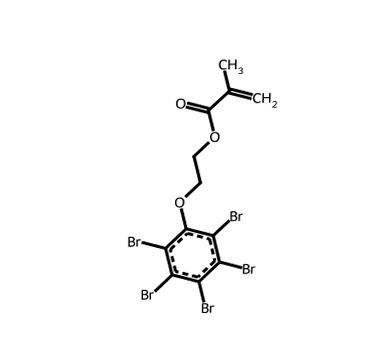 C=C(C)C(=O)OCCOc1c(Br)c(Br)c(Br)c(Br)c1Br